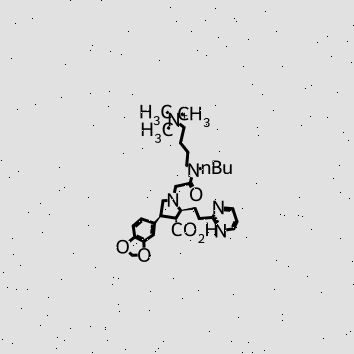 CCCCN(CCCC[N+](C)(C)C)C(=O)CN1C[C@H](c2ccc3c(c2)OCO3)[C@@H](C(=O)O)[C@@H]1CCc1ncccn1